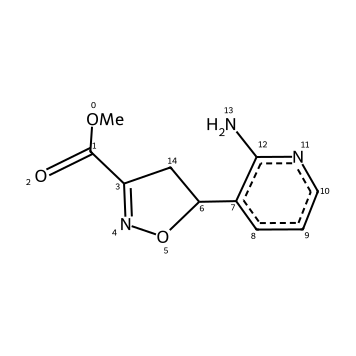 COC(=O)C1=NOC(c2cccnc2N)C1